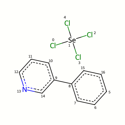 Cl[Se](Cl)(Cl)Cl.c1ccc(-c2cccnc2)cc1